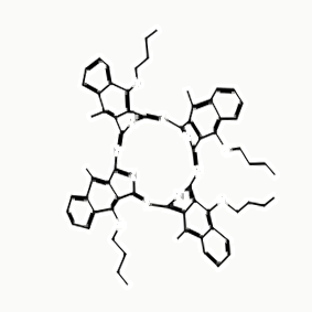 CCCCOc1c2c(c(C)c3ccccc13)-c1nc-2nc2[nH]c(nc3nc(nc4[nH]c(n1)c1c(C)c5ccccc5c(OCCCC)c41)-c1c-3c(OCCCC)c3ccccc3c1C)c1c(OCCCC)c3ccccc3c(C)c21